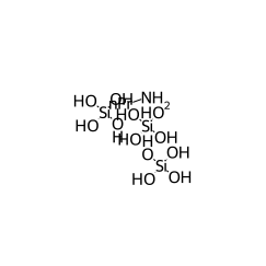 CCCN.O[Si](O)(O)O.O[Si](O)(O)O.O[Si](O)(O)O